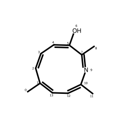 Cc1cccc(O)c(C)nc(C)cc1